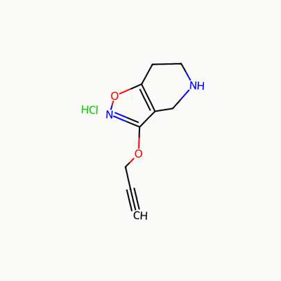 C#CCOc1noc2c1CNCC2.Cl